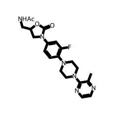 CC(=O)NCC1CN(c2ccc(N3CCN(c4nccnc4C)CC3)c(F)c2)C(=O)O1